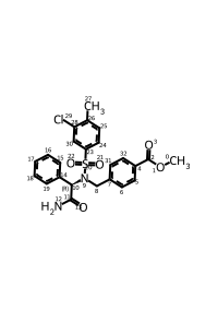 COC(=O)c1ccc(CN([C@@H](C(N)=O)c2ccccc2)S(=O)(=O)c2ccc(C)c(Cl)c2)cc1